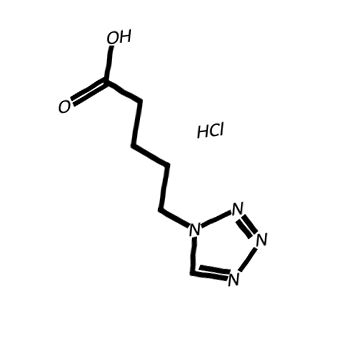 Cl.O=C(O)CCCCn1cnnn1